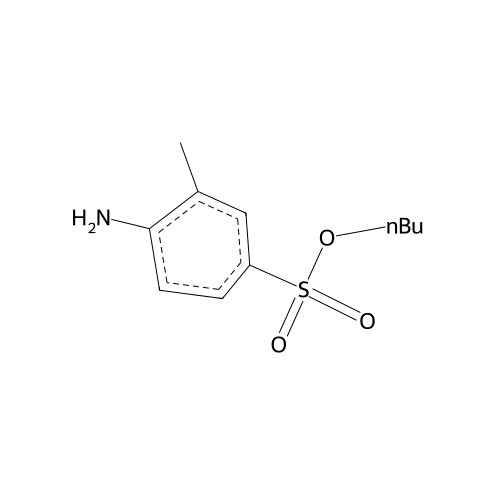 CCCCOS(=O)(=O)c1ccc(N)c(C)c1